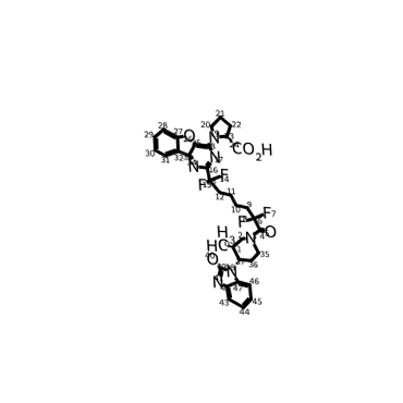 C[C@H]1CN(C(=O)C(F)(F)CCCCC(F)(F)c2nc(N3CCC[C@H]3C(=O)O)c3oc4ccccc4c3n2)CC[C@@H]1n1c(O)nc2ccccc21